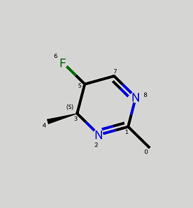 CC1=N[C@@H](C)C(F)C=N1